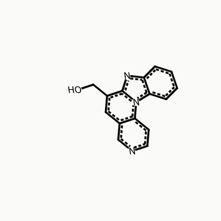 OCc1cc2cnccc2n2c1nc1ccccc12